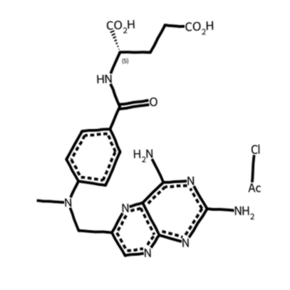 CC(=O)Cl.CN(Cc1cnc2nc(N)nc(N)c2n1)c1ccc(C(=O)N[C@@H](CCC(=O)O)C(=O)O)cc1